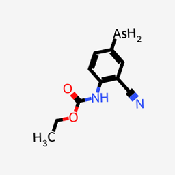 CCOC(=O)Nc1ccc([AsH2])cc1C#N